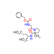 C[C@@]1(C(=O)NC(CCC(=O)O)C(=O)O)CCCN1C(=O)CNC(=O)OCc1ccccc1